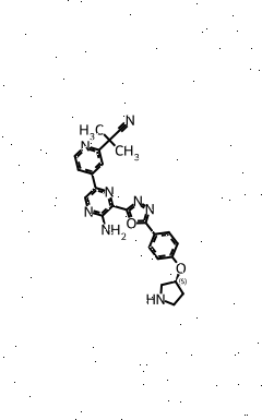 CC(C)(C#N)c1cc(-c2cnc(N)c(-c3nnc(-c4ccc(O[C@H]5CCNC5)cc4)o3)n2)ccn1